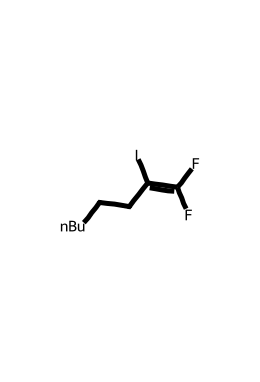 CCCCCCC(I)=C(F)F